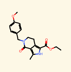 CCOC(=O)c1[nH]c(C)c2c1CCN(Cc1ccc(OC)cc1)C2=O